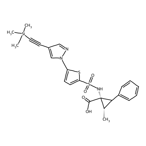 C[C@H]1C(c2ccccc2)[C@]1(NS(=O)(=O)c1ccc(-n2cc(C#C[Si](C)(C)C)cn2)s1)C(=O)O